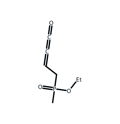 CCOP(C)(=O)CC=C=C=O